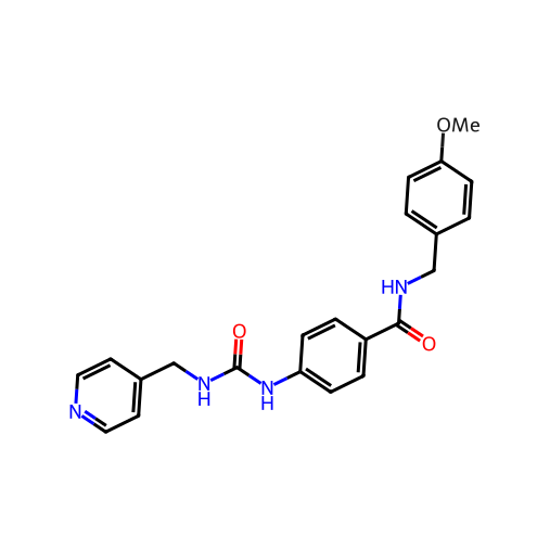 COc1ccc(CNC(=O)c2ccc(NC(=O)NCc3ccncc3)cc2)cc1